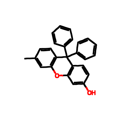 Cc1ccc2c(c1)Oc1cc(O)ccc1C2(c1ccccc1)c1ccccc1